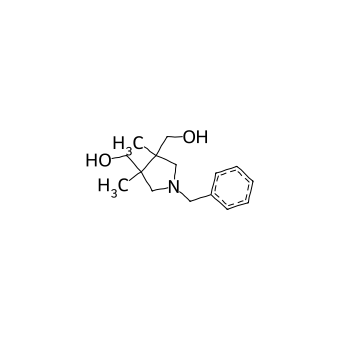 CC1(CO)CN(Cc2ccccc2)CC1(C)CO